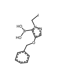 OB(O)c1c(OCc2ccccc2)cnn1CI